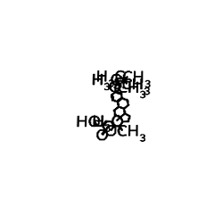 CC(C1CC=C(CO)C(=O)O1)C1CCC2C3CCc4cc(O[Si](C)(C)C(C)(C)C)ccc4C3CCC12C